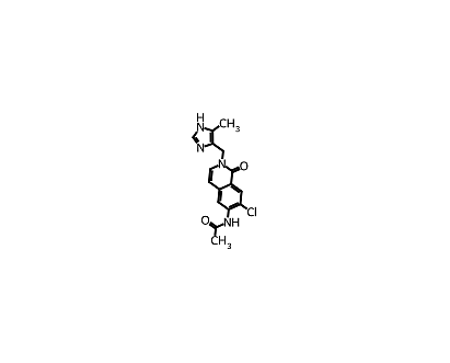 CC(=O)Nc1cc2ccn(Cc3nc[nH]c3C)c(=O)c2cc1Cl